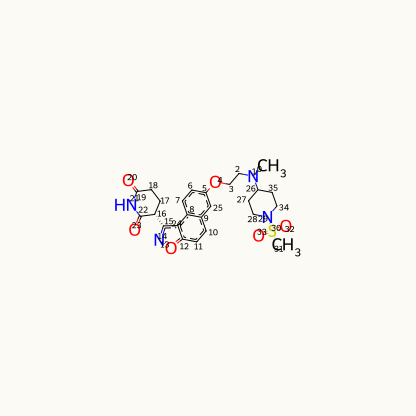 CN(CCOc1ccc2c(ccc3onc([C@H]4CCC(=O)NC4=O)c32)c1)C1CCN(S(C)(=O)=O)CC1